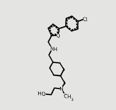 CN(CCO)CC1CCC(CNCc2ccc(-c3ccc(Cl)cc3)o2)CC1